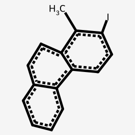 Cc1c(I)ccc2c1ccc1ccccc12